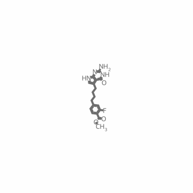 COC(=O)c1ccc(CCCCc2c[nH]c3nc(N)[nH]c(=O)c23)cc1F